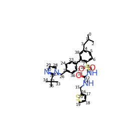 CC(C)Cc1ccc(S(=O)(=O)NC(=O)NCc2cccs2)c(-c2ccc(Cn3ccnc3C(C)(C)C)cc2)c1